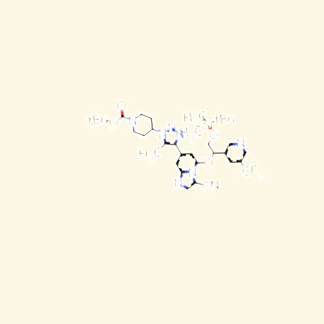 Cc1c(-c2cc(OC(CO[Si](C)(C)C(C)(C)C)c3cncc(C(F)(F)F)c3)n3c(C#N)cnc3c2)nnn1C1CCN(C(=O)OC(C)(C)C)CC1